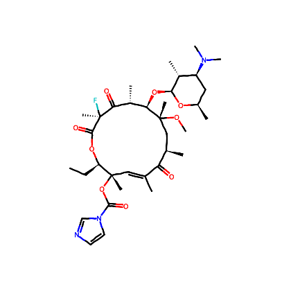 CC[C@H]1OC(=O)[C@@](C)(F)C(=O)[C@H](C)[C@@H](O[C@@H]2O[C@H](C)C[C@H](N(C)C)[C@H]2C)[C@](C)(OC)C[C@@H](C)C(=O)/C(C)=C/[C@]1(C)OC(=O)n1ccnc1